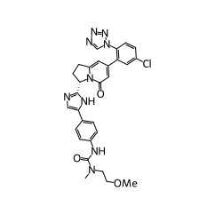 COCCN(C)C(=O)Nc1ccc(-c2cnc([C@@H]3CCc4cc(-c5cc(Cl)ccc5-n5cnnn5)cc(=O)n43)[nH]2)cc1